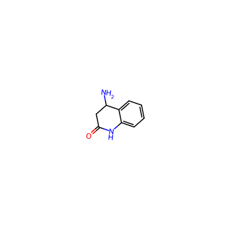 NC1CC(=O)Nc2ccccc21